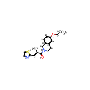 N#C/C(=C\c1nccs1)C(=O)N1CCc2cc(OCC(=O)O)ccc2C1